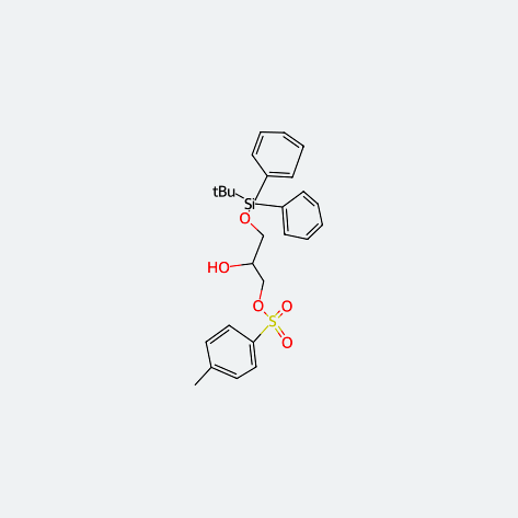 Cc1ccc(S(=O)(=O)OCC(O)CO[Si](c2ccccc2)(c2ccccc2)C(C)(C)C)cc1